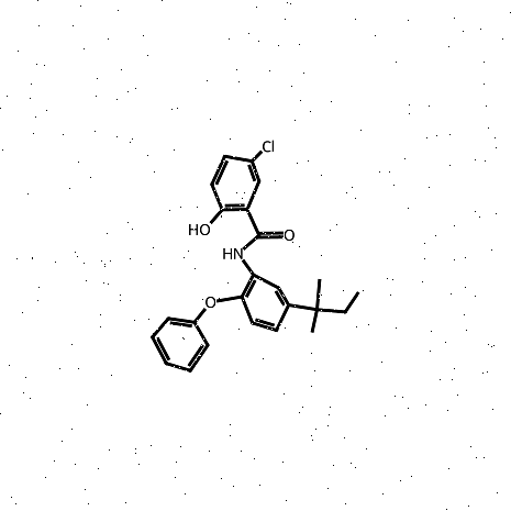 CCC(C)(C)c1ccc(Oc2ccccc2)c(NC(=O)c2cc(Cl)ccc2O)c1